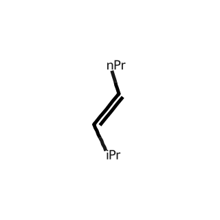 [CH2]C(C)/C=C/CCC